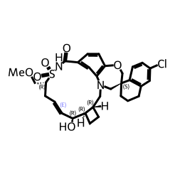 COC[C@H]1C/C=C/[C@H](O)[C@@H]2CC[C@H]2CN2C[C@@]3(CCCc4cc(Cl)ccc43)COc3ccc(cc32)C(=O)NS1(=O)=O